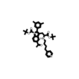 CC(=O)c1ccc2c(c1)c(CC(NCCCCc1ccncc1)C(=O)OC(C)(C)C)c(-c1cc(C)cc(C)c1)n2C(=O)OC(C)(C)C